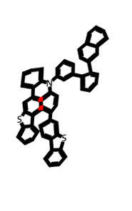 c1cc(-c2ccccc2-c2ccc3ccccc3c2)cc(N(c2ccc(-c3ccc4c(c3)sc3ccccc34)cc2)c2ccccc2-c2ccc3c(c2)sc2ccccc23)c1